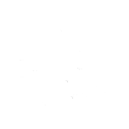 Cc1cc2c(NCc3ccc4c(c3)OCO4)nc(C3CCCCC3)nc2s1.O=C(O)O